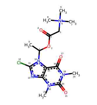 CC(OC(=O)C[N+](C)(C)C)n1c(Cl)nc2c1c(=O)n(C)c(=O)n2C